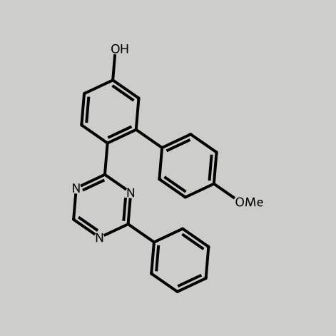 COc1ccc(-c2cc(O)ccc2-c2ncnc(-c3ccccc3)n2)cc1